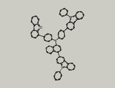 c1ccc(-n2c3ccccc3c3cc(-c4ccc(N(c5ccc(-c6ccc7c8ccccc8n(-c8ccccc8)c7c6)cc5)c5ccc(-c6cccc7c6oc6ccccc67)cc5)c5ccccc45)ccc32)cc1